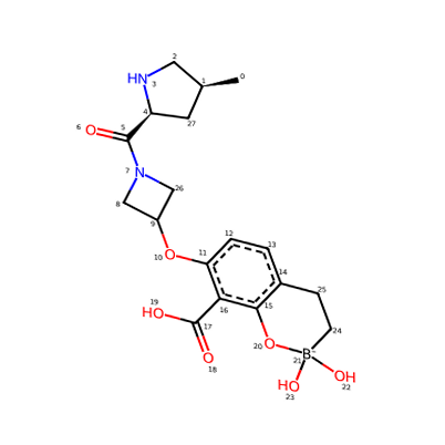 C[C@@H]1CN[C@H](C(=O)N2CC(Oc3ccc4c(c3C(=O)O)O[B-](O)(O)CC4)C2)C1